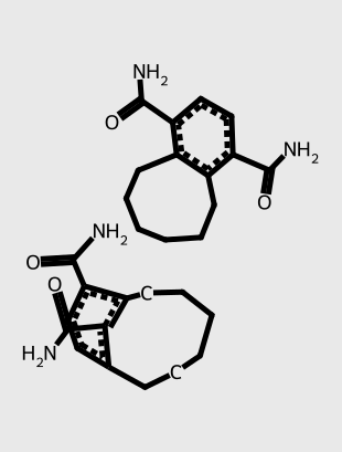 NC(=O)c1ccc(C(N)=O)c2c1CCCCCC2.NC(=O)c1ccc2c(C(N)=O)c1CCCCCC2